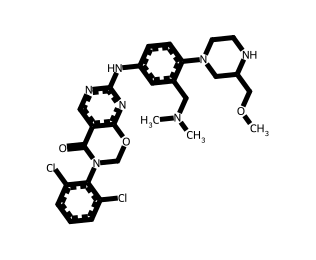 COCC1CN(c2ccc(Nc3ncc4c(n3)OCN(c3c(Cl)cccc3Cl)C4=O)cc2CN(C)C)CCN1